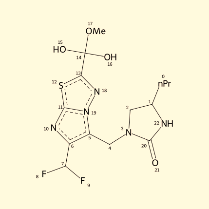 CCCC1CN(Cc2c(C(F)F)nc3sc(C(O)(O)OC)nn23)C(=O)N1